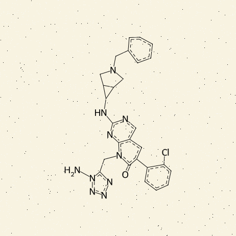 Nn1nnnc1Cn1c(=O)c(-c2ccccc2Cl)cc2cnc(NC3C4CN(Cc5ccccc5)CC43)nc21